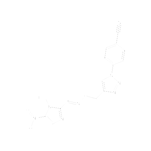 Cn1c([N+](=O)[O-])cnc1/C=N/OCc1cn(-c2ccc(C#N)cc2)nn1